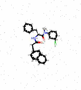 CN(C(=O)[C@H](Cc1ccccc1)NC(=O)Cc1ccc2ccccc2c1)c1cccc(Cl)c1